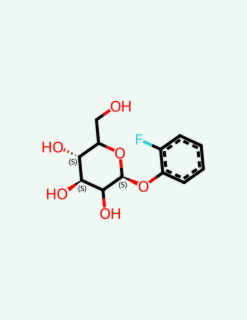 OCC1O[C@@H](Oc2ccccc2F)C(O)[C@@H](O)[C@@H]1O